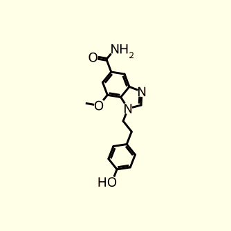 COc1cc(C(N)=O)cc2ncn(CCc3ccc(O)cc3)c12